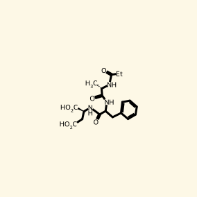 CCC(=O)N[C@@H](C)C(=O)NC(Cc1ccccc1)C(=O)N[C@@H](CC(=O)O)C(=O)O